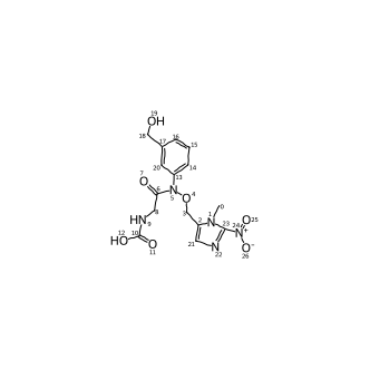 Cn1c(CON(C(=O)CNC(=O)O)c2cccc(CO)c2)cnc1[N+](=O)[O-]